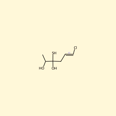 CC(O)C(O)(S)C/C=C/Cl